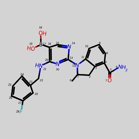 CC1Cc2c(C(N)=O)cccc2N1c1ncc(B(O)O)c(NCc2cccc(F)c2)n1